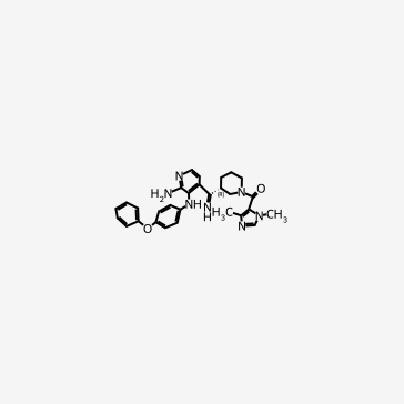 Cc1ncn(C)c1C(=O)N1CCC[C@@H](C(=N)c2ccnc(N)c2Nc2ccc(Oc3ccccc3)cc2)C1